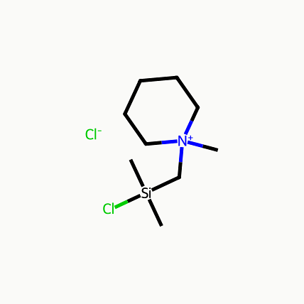 C[N+]1(C[Si](C)(C)Cl)CCCCC1.[Cl-]